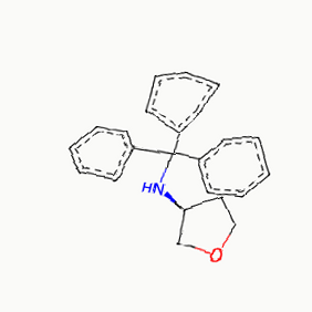 c1ccc(C(N[C@H]2CCOC2)(c2ccccc2)c2ccccc2)cc1